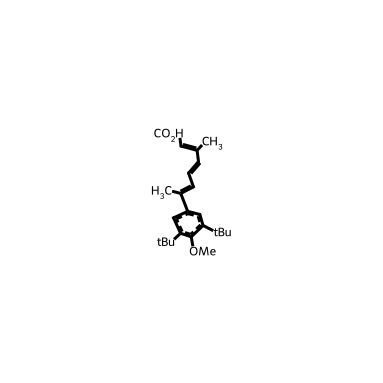 COc1c(C(C)(C)C)cc(/C(C)=C/C=CC(C)=CC(=O)O)cc1C(C)(C)C